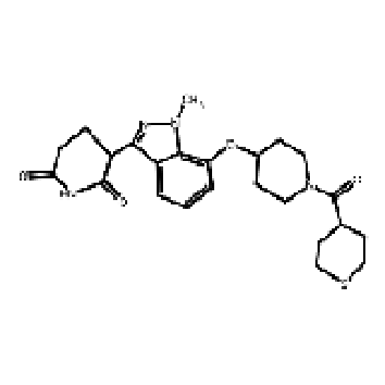 Cn1nc(C2CCC(=O)NC2=O)c2cccc(OC3CCN(C(=O)C4CCSCC4)CC3)c21